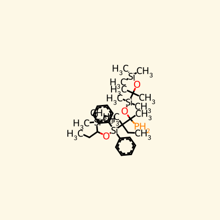 CCC(O[Si](c1ccccc1)(c1ccccc1)C(C)(CC)C(C)(P)O[Si](C)(C)C(C)(C)O[Si](C)(C)C)[Si](C)(C)C